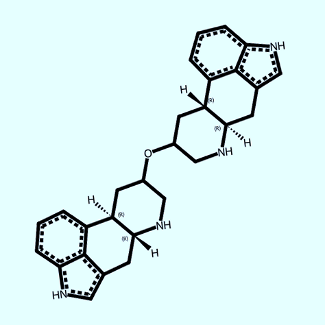 c1cc2c3c(c[nH]c3c1)C[C@H]1NCC(OC3CN[C@@H]4Cc5c[nH]c6cccc(c56)[C@H]4C3)C[C@H]21